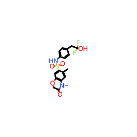 Cc1cc2c(cc1S(=O)(=O)Nc1ccc(CC(O)(F)F)cc1)OCC(=O)N2